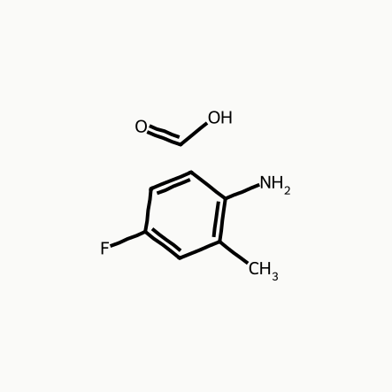 Cc1cc(F)ccc1N.O=CO